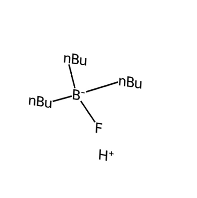 CCCC[B-](F)(CCCC)CCCC.[H+]